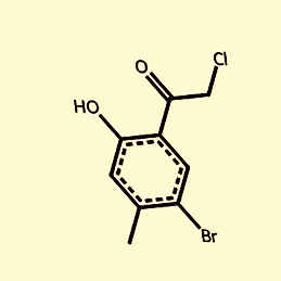 Cc1cc(O)c(C(=O)CCl)cc1Br